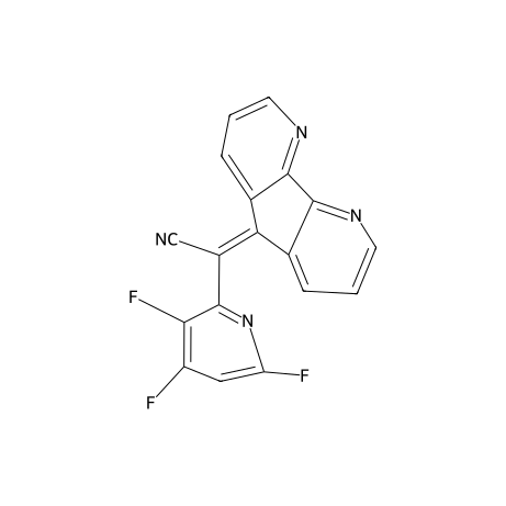 N#CC(=C1c2cccnc2-c2ncccc21)c1nc(F)cc(F)c1F